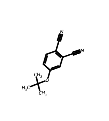 CC(C)(C)Oc1ccc(C#N)c(C#N)c1